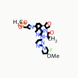 C=CC(=O)N[C@@H]1COC[C@@H]1c1ccc(N2CC(CS(C)(=O)=O)C2)c2cnc(Nc3ccnc(N4CC[C@@H](OC)[C@@H](F)C4)n3)cc12